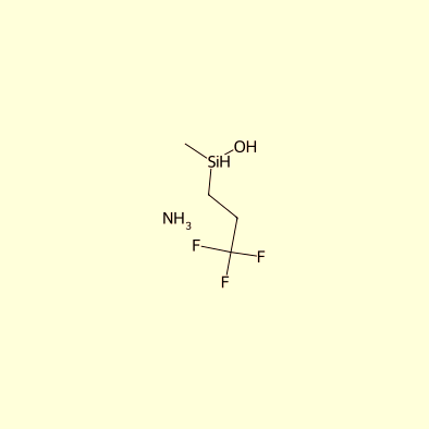 C[SiH](O)CCC(F)(F)F.N